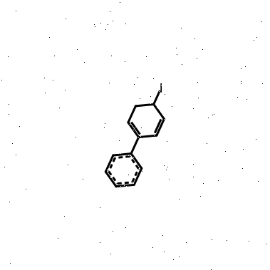 IC1C=CC(c2ccccc2)=CC1